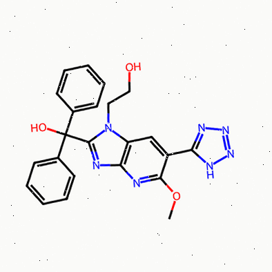 COc1nc2nc(C(O)(c3ccccc3)c3ccccc3)n(CCO)c2cc1-c1nnn[nH]1